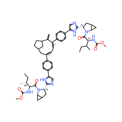 C=C1/C(c2ccc(-c3cnc([C@@H]4CC5CC5N4C(=O)[C@@H](NC(=O)OC)C(C)CC)[nH]3)cc2)=C\C=C(\c2ccc(-c3cnc([C@@H]4CC5CC5N4C(=O)C(NC(=O)OC)[C@H](C)CC)[nH]3)cc2)CC2CCC1C2